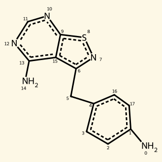 Nc1ccc(Cc2nsc3ncnc(N)c23)cc1